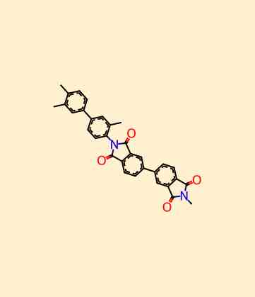 Cc1ccc(-c2ccc(N3C(=O)c4ccc(-c5ccc6c(c5)C(=O)N(C)C6=O)cc4C3=O)c(C)c2)cc1C